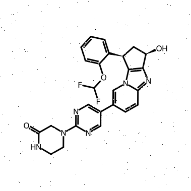 O=C1CN(c2ncc(-c3ccc4nc5c(n4c3)[C@@H](c3ccccc3OC(F)F)C[C@H]5O)cn2)CCN1